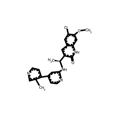 COc1cc2[nH]c(=O)c([C@H](C)Nc3cc(-c4ccncc4C)ccn3)cc2cc1Cl